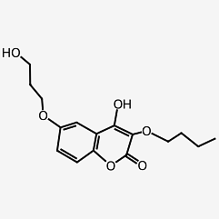 CCCCOc1c(O)c2cc(OCCCO)ccc2oc1=O